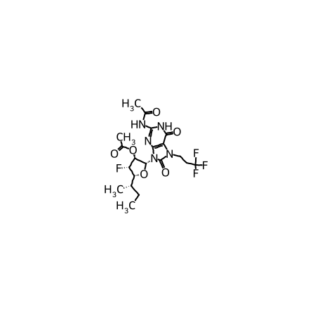 CC[C@H](C)[C@H]1O[C@@H](n2c(=O)n(CCC(F)(F)F)c3c(=O)[nH]c(NC(C)=O)nc32)[C@H](OC(C)=O)[C@H]1F